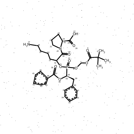 CC(C)(C)C(=O)OCOP(=O)(OC(CCCCN)C(=O)N1CCC[C@H]1C(=O)O)[C@@H](Cc1ccccc1)OC(=O)c1ccccc1